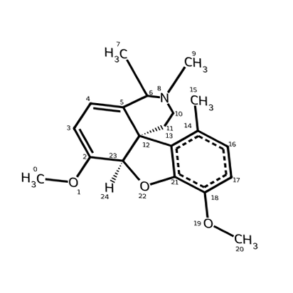 COC1=CC=C2C(C)N(C)CC[C@@]23c2c(C)ccc(OC)c2O[C@@H]13